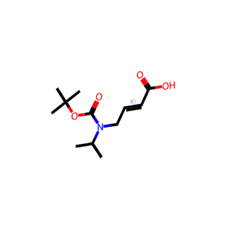 CC(C)N(C/C=C/C(=O)O)C(=O)OC(C)(C)C